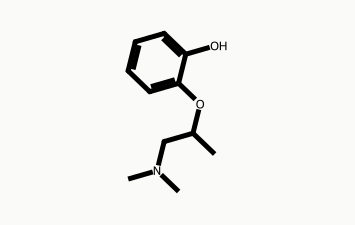 CC(CN(C)C)Oc1ccccc1O